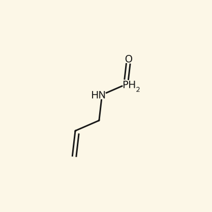 C=CCN[PH2]=O